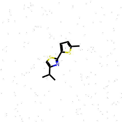 Cc1ccc(-c2nc(C(C)C)cs2)s1